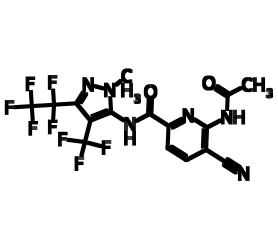 CC(=O)Nc1nc(C(=O)Nc2c(C(F)(F)F)c(C(F)(F)C(F)(F)F)nn2C)ccc1C#N